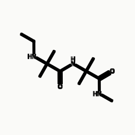 CCNC(C)(C)C(=O)NC(C)(C)C(=O)NC